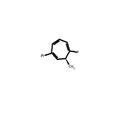 CC(C)C1=C[C@H](C)C(F)=CC=C1